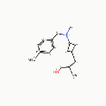 CCCC(CO)CC1CC(N(C)Cc2ccc(OC)cc2)C1